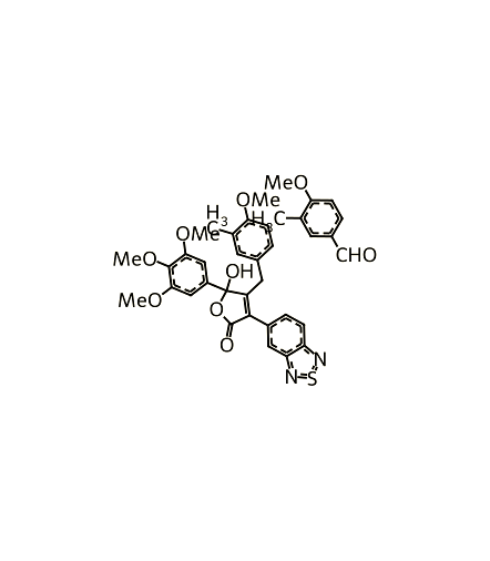 COc1ccc(C=O)cc1C.COc1ccc(CC2=C(c3ccc4nsnc4c3)C(=O)OC2(O)c2cc(OC)c(OC)c(OC)c2)cc1C